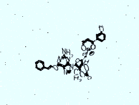 C[C@@]12OC(=O)O[C@@H]1[C@@H](CO[P@@]1(=O)OCC[C@@H](c3cccc(Cl)c3)O1)O[C@H]2n1cnc2c(OCCC3CCCCC3)nc(N)nc21